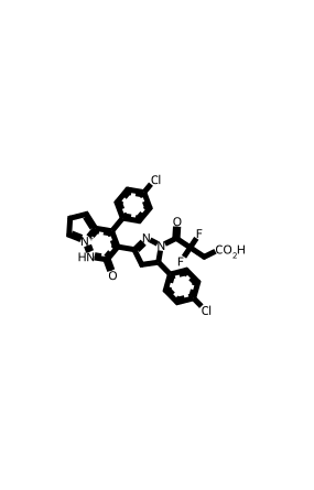 O=C(O)CC(F)(F)C(=O)N1N=C(c2c(-c3ccc(Cl)cc3)c3[n+]([nH]c2=O)=CCC=3)CC1c1ccc(Cl)cc1